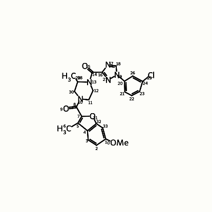 COc1ccc2c(C)c(C(=O)N3CCN(C(=O)c4ncn(-c5cccc(Cl)c5)n4)C(C)C3)oc2c1